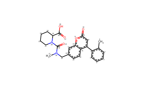 Cc1ccccc1-c1cc(=O)oc2cc(CN(C)C(=O)N3CCCCC3C(=O)O)ccc12